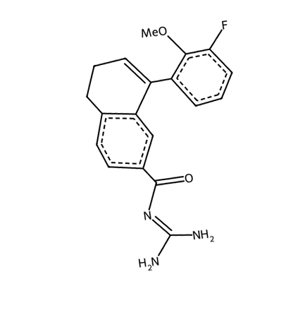 COc1c(F)cccc1C1=CCCc2ccc(C(=O)N=C(N)N)cc21